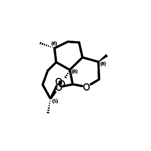 C[C@@H]1CCC2[C@@H](C)COC3O[C@]4(C)CCC1[C@]32OO4